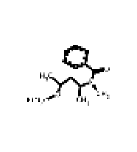 CCOC(=O)OC(C)CC(C)N(C)C(=O)c1ccccc1